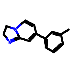 Cc1cccc(C2=CC3=NCCN3C=C2)c1